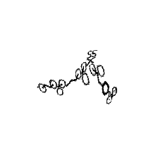 COCCOC(=O)OCCCOC(=O)OCC1(COC(=O)Cc2ccc([N+](=O)[O-])cc2)CSSC1